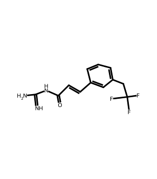 N=C(N)NC(=O)C=Cc1cccc(CC(F)(F)F)c1